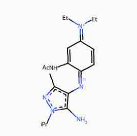 CC[N+](CC)=C1C=C/C(=N/c2c(C)nn(C(C)C)c2N)C(NC(C)=O)=C1